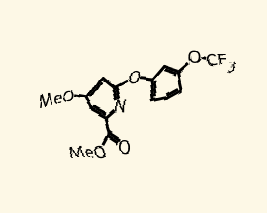 COC(=O)c1cc(OC)cc(Oc2cccc(OC(F)(F)F)c2)n1